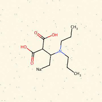 CCCN(CCC)C([CH2][Na])C(C(=O)O)C(=O)O